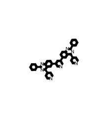 c1ccc(-c2nc(-c3ccncc3)c3cc(-c4cncc(-c5ccc6nc(-c7ccccc7)nc(-c7ccncc7)c6c5)c4)ccc3n2)cc1